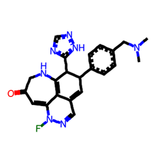 CN(C)Cc1ccc(C2C=C3C=NN(F)C4=CC(=O)CNC(=C34)C2c2ncn[nH]2)cc1